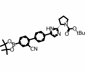 CC(C)(C)OC(=O)N1CCC[C@H]1c1ncc(-c2ccc(-c3ccc(B4OC(C)(C)C(C)(C)O4)cc3C#N)cc2)[nH]1